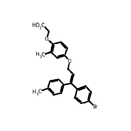 Cc1ccc(/C(=C\COc2ccc(OCC(=O)O)c(C)c2)c2ccc(Br)cc2)cc1